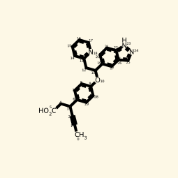 CC#CC(CC(=O)O)c1ccc(OC(Cc2ccccn2)c2ccc3[nH]ncc3c2)cc1